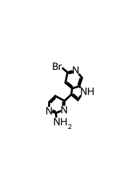 Nc1nccc(-c2c[nH]c3cnc(Br)cc23)n1